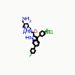 Cl.Cl.NC[C@@H]1CN[C@H](CNC(=O)c2[nH]c3cc(-c4ccc(F)cc4)ccc3c2-c2ccc(F)cc2)C1